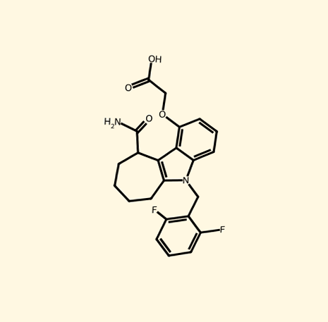 NC(=O)C1CCCCc2c1c1c(OCC(=O)O)cccc1n2Cc1c(F)cccc1F